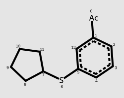 CC(=O)c1cccc(SC2CCCC2)c1